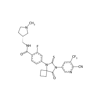 CN1CC[C@@H](CNC(=O)c2ccc(N3C(=S)N(c4cnc(C#N)c(C(F)(F)F)c4)C(=O)C34CCC4)cc2F)C1